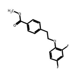 COC(=O)c1ccc(CCOc2ccc(F)cc2F)cc1